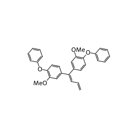 C=CC=C(c1ccc(Oc2ccccc2)c(OC)c1)c1ccc(Oc2ccccc2)c(OC)c1